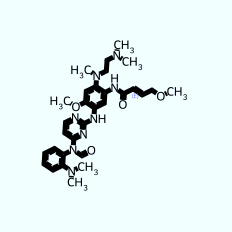 COC/C=C/C(=O)Nc1cc(Nc2nccc(N(C=O)c3ccccc3N(C)C)n2)c(OC)cc1N(C)CCN(C)C